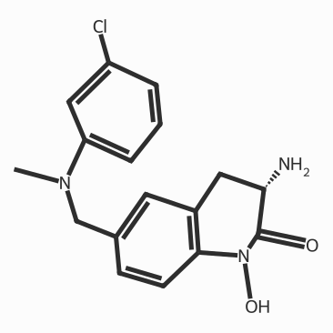 CN(Cc1ccc2c(c1)C[C@H](N)C(=O)N2O)c1cccc(Cl)c1